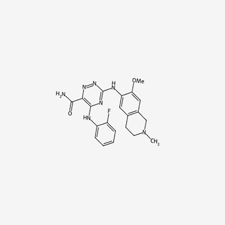 COc1cc2c(cc1Nc1nnc(C(N)=O)c(Nc3ccccc3F)n1)CCN(C)C2